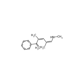 C=C(/C(C)=C\C(C)=C/NC)c1ccccc1